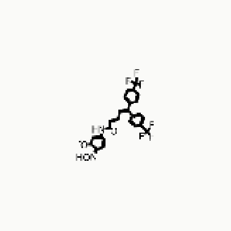 COC1C=C(NC(=O)C=CC=C(c2ccc(C(F)(F)F)cc2)c2ccc(C(F)(F)F)cc2)C=CC1=NO